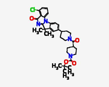 CC(C)(C)OC(=O)N1CCC(C(=O)N2CCC(c3ccc4c(c3)C(C)(C)c3nc(=O)c5c(Cl)cccc5n3-4)CC2)CC1